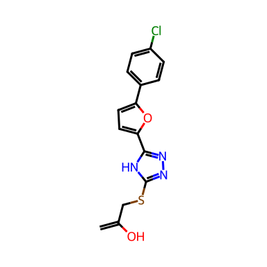 C=C(O)CSc1nnc(-c2ccc(-c3ccc(Cl)cc3)o2)[nH]1